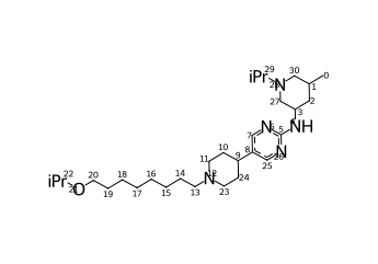 CC1CC(Nc2ncc(C3CCN(CCCCCCCCOC(C)C)CC3)cn2)CN(C(C)C)C1